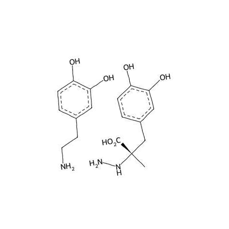 C[C@@](Cc1ccc(O)c(O)c1)(NN)C(=O)O.NCCc1ccc(O)c(O)c1